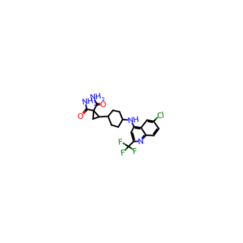 NC(=O)C1(C(N)=O)CC1C1CCC(Nc2cc(C(F)(F)F)nc3ccc(Cl)cc23)CC1